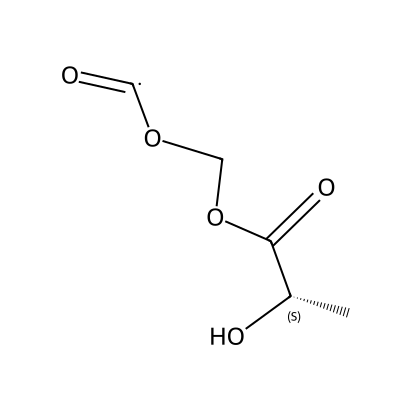 C[C@H](O)C(=O)OCO[C]=O